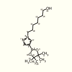 CC1(C)OB(c2cnn(CCCCCCCO)c2)OC1(C)C